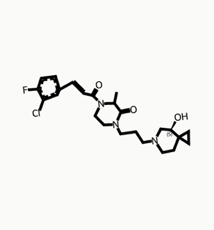 CC1C(=O)N(CCCN2CCC3(CC3)[C@H](O)C2)CCN1C(=O)C=Cc1ccc(F)c(Cl)c1